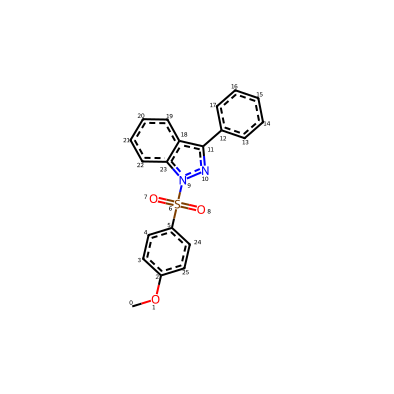 COc1ccc(S(=O)(=O)n2nc(-c3ccccc3)c3ccccc32)cc1